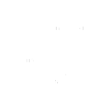 OCc1cnoc1-c1ccc(Cl)c(Br)c1